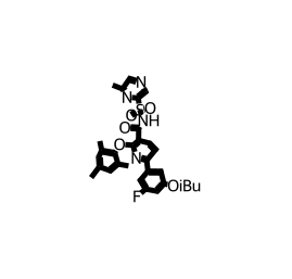 Cc1cc(C)c(Oc2nc(-c3cc(F)cc(OCC(C)C)c3)ccc2C(=O)NS(=O)(=O)c2cncc(C)n2)c(C)c1